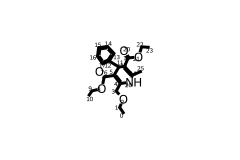 CCOCC1=C(C(=O)OCC)C(c2ccccc2)C(C(=O)OCC)=C(C)N1